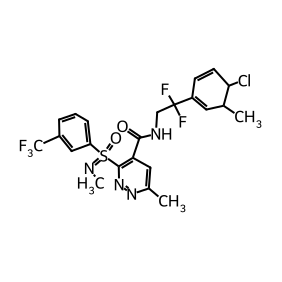 CN=S(=O)(c1cccc(C(F)(F)F)c1)c1nnc(C)cc1C(=O)NCC(F)(F)C1=CC(C)C(Cl)C=C1